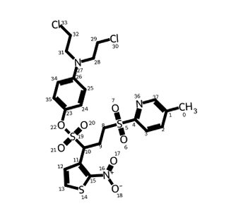 Cc1ccc(S(=O)(=O)CCC(c2ccsc2[N+](=O)[O-])S(=O)(=O)Oc2ccc(N(CCCl)CCCl)cc2)nc1